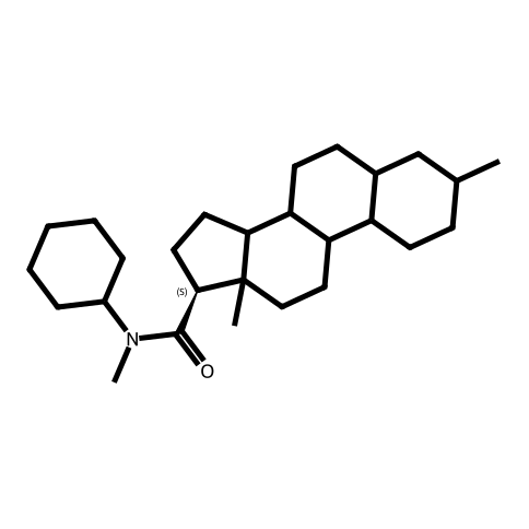 CC1CCC2C(CCC3C2CCC2(C)C3CC[C@@H]2C(=O)N(C)C2CCCCC2)C1